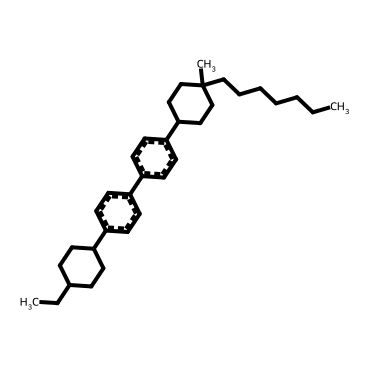 CCCCCCCC1(C)CCC(c2ccc(-c3ccc(C4CCC(CC)CC4)cc3)cc2)CC1